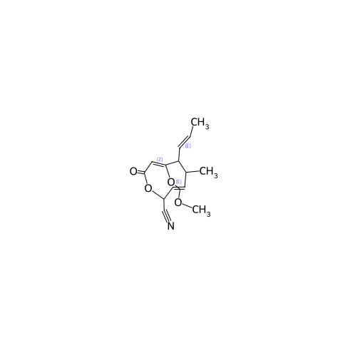 C/C=C/C1/C(OCOC)=C/C(=O)OC(C#N)/C=C/C1C